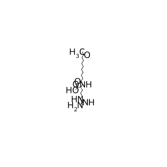 CC(=O)CCCCCCCCC(=O)N[C@@H](CCCNC(=N)N)C(=O)O